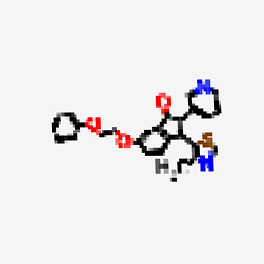 Cc1ncsc1C1=C(c2cccnc2)C(=O)c2cc(OCCOc3ccccc3)ccc21